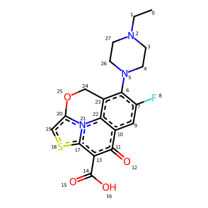 CCN1CCN(c2c(F)cc3c(=O)c(C(=O)O)c4scc5n4c3c2CO5)CC1